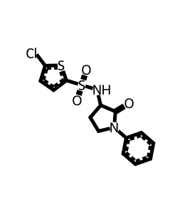 O=C1C(NS(=O)(=O)c2ccc(Cl)s2)CCN1c1ccccc1